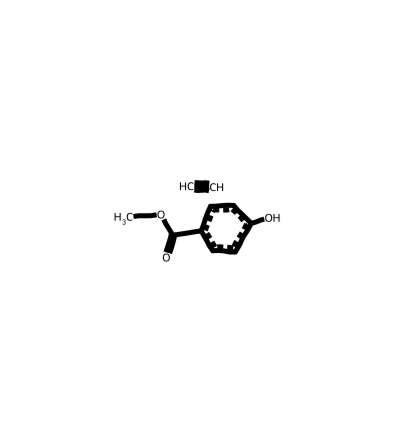 C#C.COC(=O)c1ccc(O)cc1